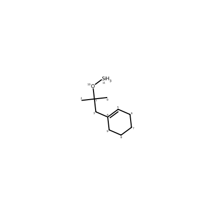 CC(C)(CC1=CCCCC1)O[SiH3]